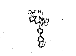 CC(=O)N1CCC(Cc2n[nH]c(=O)n2-c2ccc(-c3ccc4cccnc4c3)cc2)C1